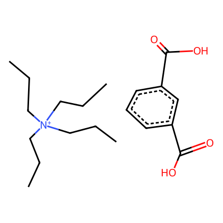 CCC[N+](CCC)(CCC)CCC.O=C(O)c1cccc(C(=O)O)c1